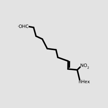 CCCCCCC(/C=C/CCCCCC[C]=O)[N+](=O)[O-]